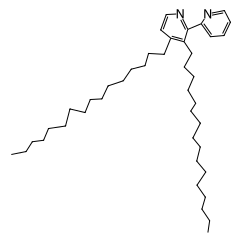 CCCCCCCCCCCCCCCCc1ccnc(-c2ccccn2)c1CCCCCCCCCCCCCCCC